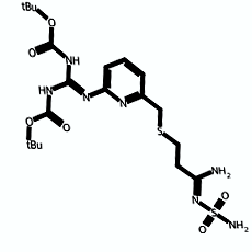 CC(C)(C)OC(=O)NC(=Nc1cccc(CSCC/C(N)=N/S(N)(=O)=O)n1)NC(=O)OC(C)(C)C